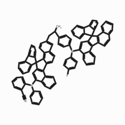 CC(Cc1ccc2c3c(ccc2c1)-c1c(cc(N(c2ccccc2)c2ccccc2C#N)c2ccccc12)C31c2ccccc2-c2ccccc21)c1ccc(N(c2ccc(F)cc2)c2cc3c(c4ccccc24)-c2ccc4ccccc4c2C32c3ccccc3-c3ccccc32)cc1